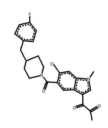 CC(=O)C(=O)c1cn(C)c2cc(Cl)c(C(=O)N3CCC(Cc4ccc(F)cc4)CC3)cc12